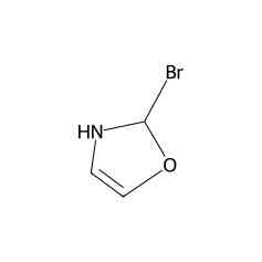 BrC1NC=CO1